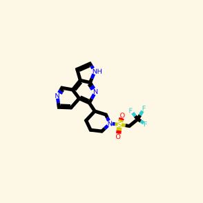 O=S(=O)(CC(F)(F)F)N1CCCC(c2nc3[nH]ccc3c3cnccc23)C1